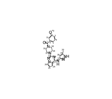 COc1cccc(C(=O)N2CCN(c3nc(Nc4cc(C)[nH]n4)c4cccn4n3)CC2)c1